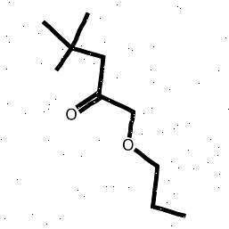 CCCOCC(=O)CC(C)(C)C